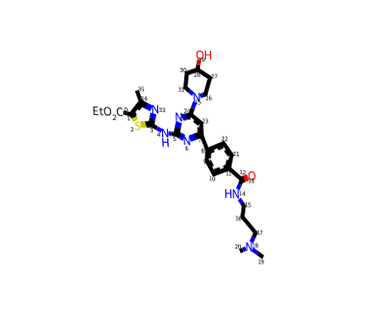 CCOC(=O)c1sc(Nc2nc(-c3ccc(C(=O)NCCCN(C)C)cc3)cc(N3CCC(O)CC3)n2)nc1C